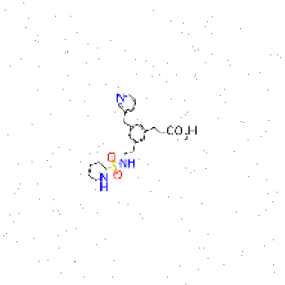 O=C(O)CCc1cc(CCNS(=O)(=O)C2CC=CCN2)cc(Cc2cccnc2)c1